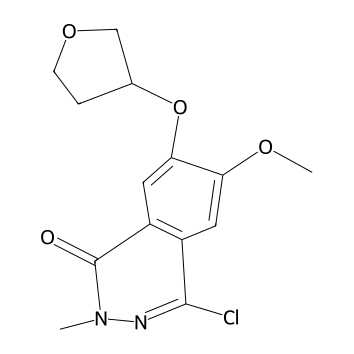 COc1cc2c(Cl)nn(C)c(=O)c2cc1OC1CCOC1